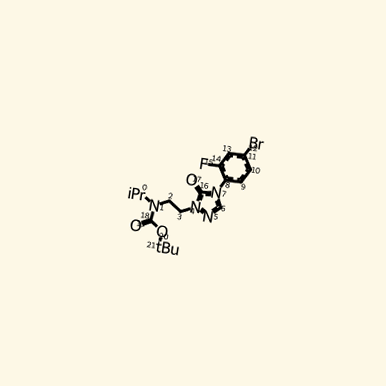 CC(C)N(CCn1ncn(-c2ccc(Br)cc2F)c1=O)C(=O)OC(C)(C)C